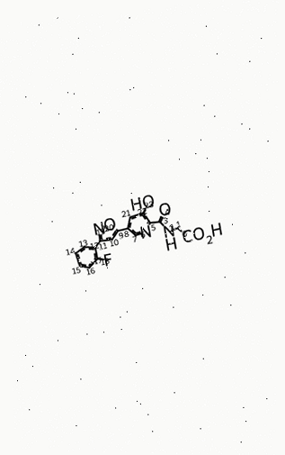 O=C(O)CNC(=O)c1ncc(-c2cc(-c3ccccc3F)no2)cc1O